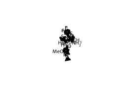 COc1cc(C(=O)NC[C@@](O)(c2ccsc2)c2cc3c(c(-c4cc(F)c(F)cc4F)n2)OC[C@]3(C)C(N)=O)cc2cn(C3CC3)nc12